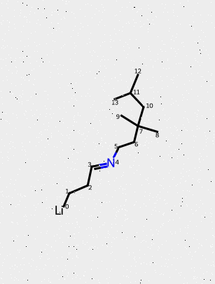 [Li][CH2]CC=NCCC(C)(C)CC(C)C